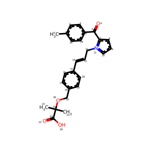 Cc1ccc(C(=O)c2cccn2C/C=C/c2ccc(COC(C)(C)C(=O)O)cc2)cc1